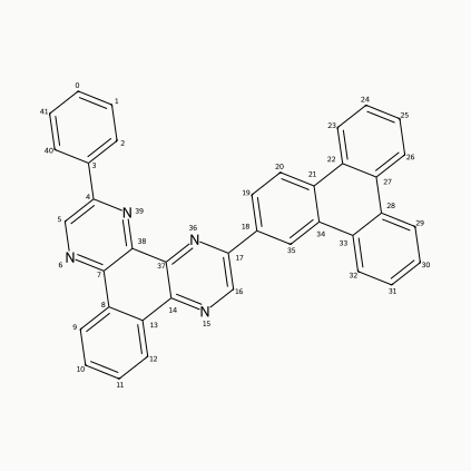 c1ccc(-c2cnc3c4ccccc4c4ncc(-c5ccc6c7ccccc7c7ccccc7c6c5)nc4c3n2)cc1